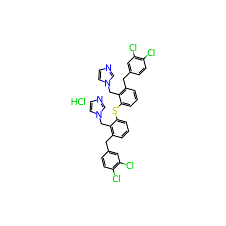 Cl.Clc1ccc(Cc2cccc(Sc3cccc(Cc4ccc(Cl)c(Cl)c4)c3Cn3ccnc3)c2Cn2ccnc2)cc1Cl